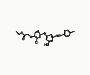 CCOC(=O)COc1ccc(Sc2cc(O)cc(C#Cc3ccc(C)cc3)c2)cc1Cl